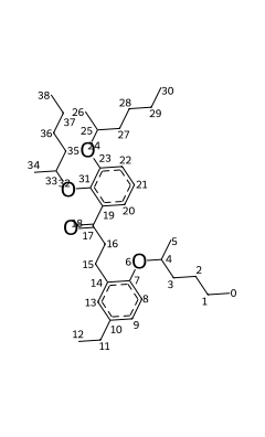 CCCCC(C)Oc1ccc(CC)cc1CCC(=O)c1cccc(OC(C)CCCC)c1OC(C)CCCC